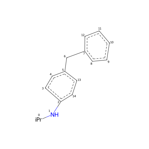 CC(C)Nc1ccc(Cc2ccccc2)cc1